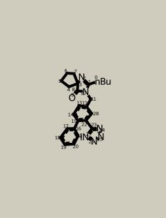 CCCCC1=NC2(CCCC2)C(=O)N1Cc1ccc(-c2ccccc2)c(-c2nnn[nH]2)c1